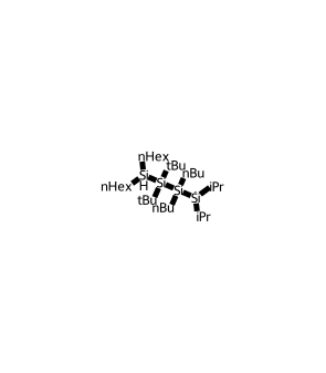 CCCCCC[SiH](CCCCCC)[Si](C(C)(C)C)(C(C)(C)C)[Si](CCCC)(CCCC)[Si](C(C)C)C(C)C